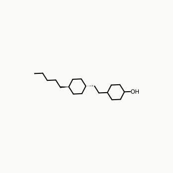 CCCCC[C@H]1CC[C@H](CCC2CCC(O)CC2)CC1